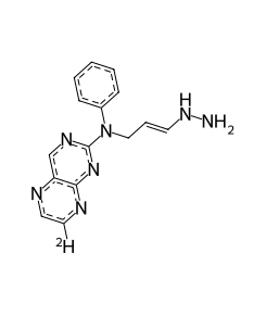 [2H]c1cnc2cnc(N(CC=CNN)c3ccccc3)nc2n1